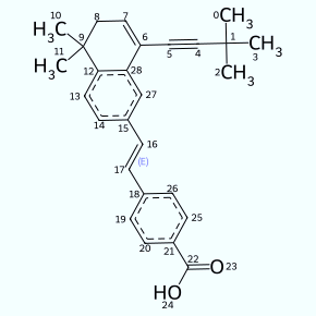 CC(C)(C)C#CC1=CCC(C)(C)c2ccc(/C=C/c3ccc(C(=O)O)cc3)cc21